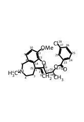 C=C[C@@]12CCN(C)Cc3ccc(OC)c(c31)OC2C[C@H](C)OC(=O)c1cccc(Cl)c1